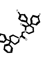 O=C(CN1CCCC(c2ccc(F)cc2)(c2ccc(F)cc2)C1=O)N1CCC(c2ccccc2)(c2ccccc2)CC1